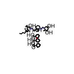 C=C1/C(=C\C=C2/CCC[C@]3(C)[C@@H]([C@H](C)/C=C/[C@@H](O)C4(c5ncc(CCCC)s5)CC4)CC[C@@H]23)C[C@@H](O)C[C@@H]1O.O=C(O)c1ccccc1.O=C(O)c1ccccc1.O=C(O)c1ccccc1